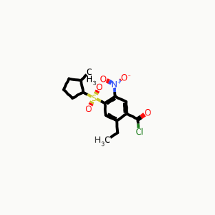 CCc1cc(S(=O)(=O)C2CCCC2C)c([N+](=O)[O-])cc1C(=O)Cl